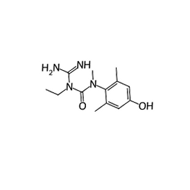 CCN(C(=N)N)C(=O)N(C)c1c(C)cc(O)cc1C